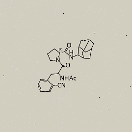 CC(=O)NC(Cc1ccccc1C#N)C(=O)N1CCC[C@@H]1C(=O)NC1C2CC3CC(C2)CC1C3